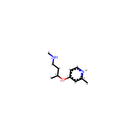 CNCCC(C)Oc1ccnc(C)c1